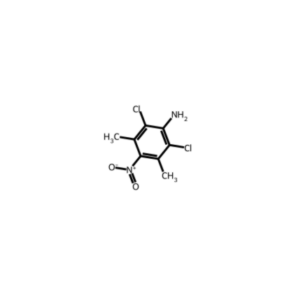 Cc1c(Cl)c(N)c(Cl)c(C)c1[N+](=O)[O-]